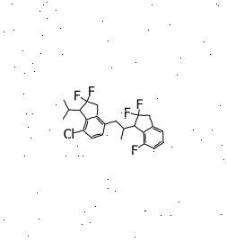 CC(C)C1c2c(Cl)ccc(CC(C)C3c4c(F)cccc4CC3(F)F)c2CC1(F)F